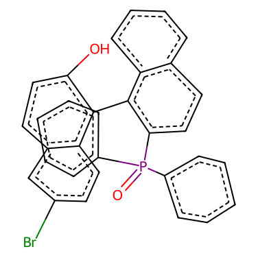 O=P(c1ccccc1)(c1ccccc1)c1ccc2ccccc2c1-c1c(O)ccc2cc(Br)ccc12